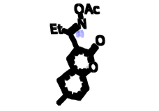 CC/C(=N\OC(C)=O)c1cc2cc(C)ccc2oc1=O